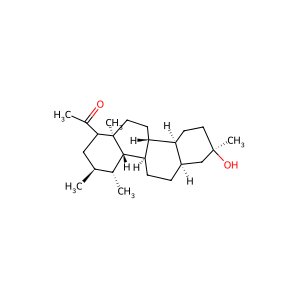 CC(=O)C1C[C@H](C)[C@@H](C)[C@H]2[C@@H]3CC[C@@H]4C[C@](C)(O)CC[C@@H]4[C@H]3CC[C@]12C